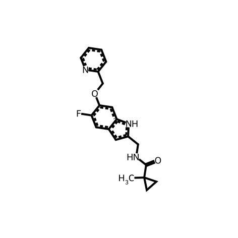 CC1(C(=O)NCc2cc3cc(F)c(OCc4ccccn4)cc3[nH]2)CC1